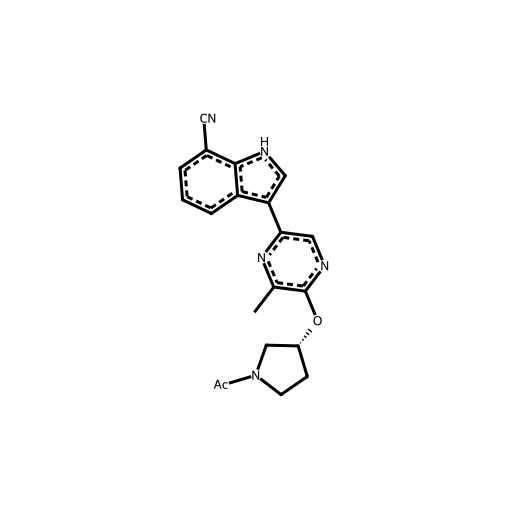 CC(=O)N1CC[C@@H](Oc2ncc(-c3c[nH]c4c(C#N)cccc34)nc2C)C1